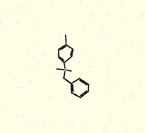 Cc1ccc([N+](C)(C)Cc2ccccc2)cc1